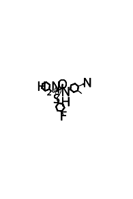 Cc1cc(NC(=O)[C@@](N)(CSc2ccc(F)cc2)Cc2ccccc2)ccc1C#N